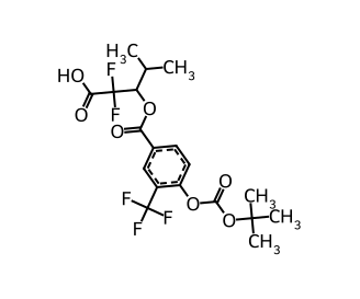 CC(C)C(OC(=O)c1ccc(OC(=O)OC(C)(C)C)c(C(F)(F)F)c1)C(F)(F)C(=O)O